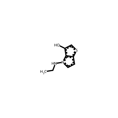 CCNn1ccc2scc(O)c21